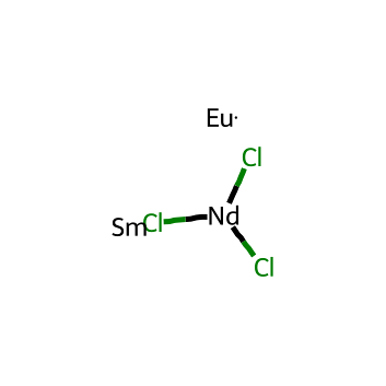 [Cl][Nd]([Cl])[Cl].[Eu].[Sm]